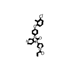 C=CC(=O)N1CC[C@@H](n2c(=O)n(-c3ccc(Oc4cccc(Cl)c4C)cc3)c3cnccc32)C1